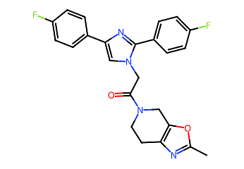 Cc1nc2c(o1)CN(C(=O)Cn1cc(-c3ccc(F)cc3)nc1-c1ccc(F)cc1)CC2